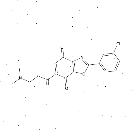 CN(C)CCNC1=CC(=O)c2nc(-c3cccc(Cl)c3)oc2C1=O